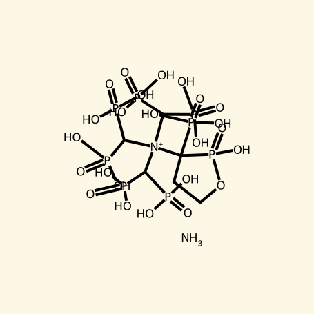 N.O=P(O)(O)C([N+](C(P(=O)(O)O)P(=O)(O)O)(C(P(=O)(O)O)P(=O)(O)O)C1(P(=O)(O)O)CCOP1(=O)O)P(=O)(O)O